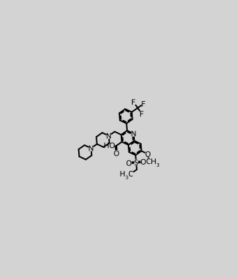 CCS(=O)(=O)c1cc2c(C(=O)O)c(CN3CCC(N4CCCCC4)CC3)c(-c3cccc(C(F)(F)F)c3)nc2cc1OC